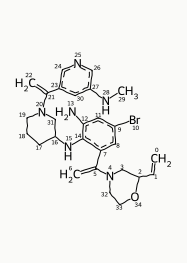 C=CC1CN(C(=C)c2cc(Br)cc(N)c2NC2CCCN(C(=C)c3cncc(NC)c3)C2)CCO1